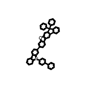 c1ccc(-c2ccc(-n3c4ccccc4c4ccc(-c5ccc6c(c5)oc5cc7c(cc56)-c5ccccc5C7(c5ccccc5)c5ccccc5)cc43)cc2)cc1